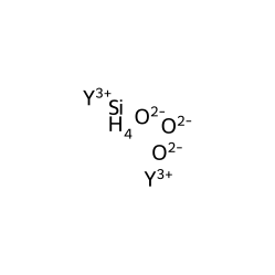 [O-2].[O-2].[O-2].[SiH4].[Y+3].[Y+3]